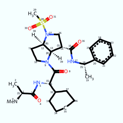 CN[C@@H](C)C(=O)N[C@H](C(=O)N1CC[C@@H]2[C@H]1[C@@H](C(=O)N[C@@H](C)c1ccccc1)CN2S(C)(=O)=O)C1CCCCC1